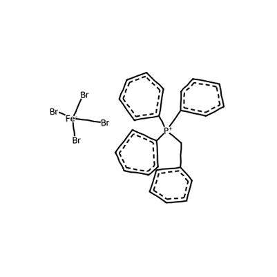 [Br][Fe-]([Br])([Br])[Br].c1ccc(C[P+](c2ccccc2)(c2ccccc2)c2ccccc2)cc1